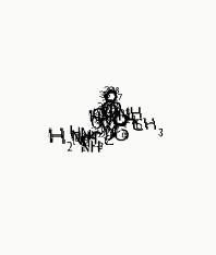 CCc1cc(N(C(C)=O)[C@H](C=O)CCCNC(=N)N)c(NS(=O)(=O)Cc2ccccc2)c(=O)[nH]1